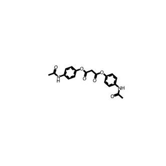 CC(=O)Nc1ccc(OC(=O)CC(=O)Oc2ccc(NC(C)=O)cc2)cc1